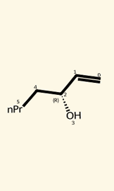 C=C[C@H](O)CCCC